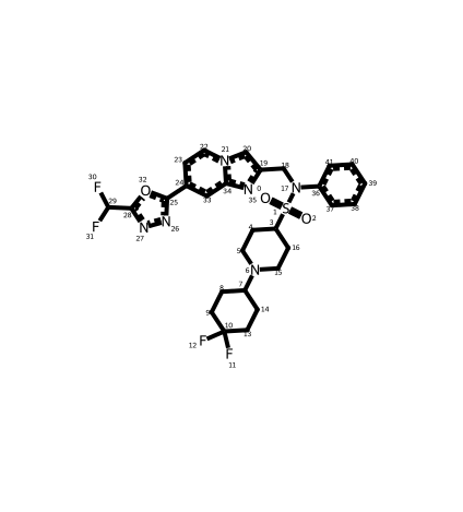 O=S(=O)(C1CCN(C2CCC(F)(F)CC2)CC1)N(Cc1cn2ccc(-c3nnc(C(F)F)o3)cc2n1)c1ccccc1